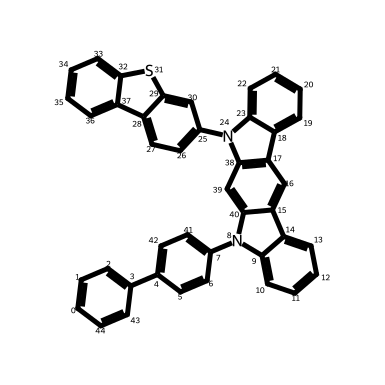 c1ccc(-c2ccc(-n3c4ccccc4c4cc5c6ccccc6n(-c6ccc7c(c6)sc6ccccc67)c5cc43)cc2)cc1